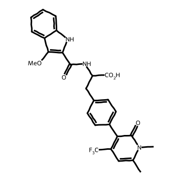 COc1c(C(=O)NC(Cc2ccc(-c3c(C(F)(F)F)cc(C)n(C)c3=O)cc2)C(=O)O)[nH]c2ccccc12